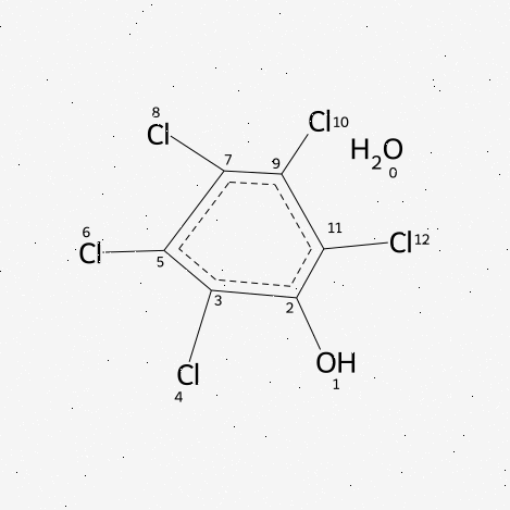 O.Oc1c(Cl)c(Cl)c(Cl)c(Cl)c1Cl